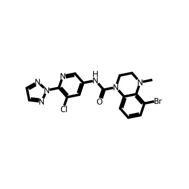 CN1CCN(C(=O)Nc2cnc(-n3nccn3)c(Cl)c2)c2cccc(Br)c21